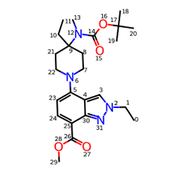 CCn1cc2c(N3CCC(CC)(N(C)C(=O)OC(C)(C)C)CC3)ccc(C(=O)OC)c2n1